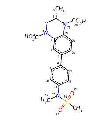 C[C@H]1CN(C(=O)O)c2cc(-c3ccc(N(C)S(C)(=O)=O)cc3)ccc2N1C(=O)O